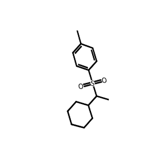 Cc1ccc(S(=O)(=O)C(C)C2CCCCC2)cc1